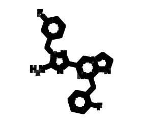 Nc1nc(-c2cn3ccnc3c(Cc3ccccc3F)n2)nn1Cc1cccc(F)c1